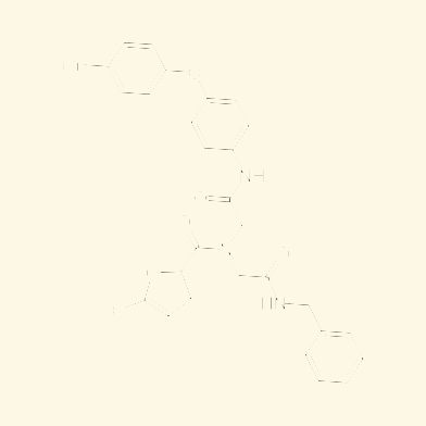 CC(C)c1ccc(Oc2ccc(NC(=O)CN(CC(=O)NCc3ccccc3)C(=O)C3CC=C(C(F)(F)F)O3)cc2)cc1